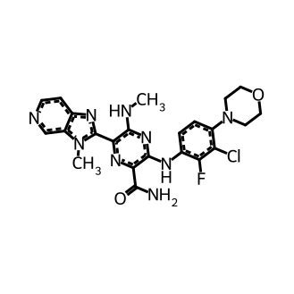 CNc1nc(Nc2ccc(N3CCOCC3)c(Cl)c2F)c(C(N)=O)nc1-c1nc2ccncc2n1C